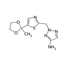 CC1(c2cnc(Cn3ncc(N)n3)s2)OCCO1